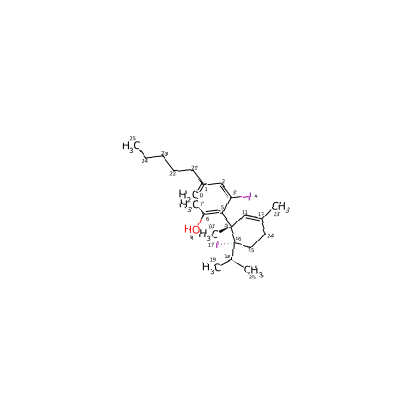 C=C(/C=C(I)\C(=C(/C)O)[C@]1(C)C=C(C)CC[C@@]1(I)C(C)C)CCCCC